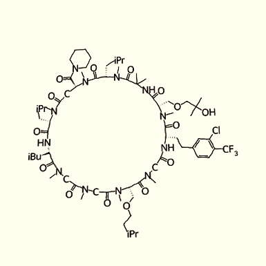 CC[C@H](C)[C@@H]1NC(=O)[C@H](CC(C)C)N(C)C(=O)C[C@@H](C(=O)N2CCCCC2)N(C)C(=O)[C@H](CC(C)C)N(C)C(=O)C(C)(C)NC(=O)[C@H](COCC(C)(C)O)N(C)C(=O)[C@H](CCc2ccc(C(F)(F)F)c(Cl)c2)NC(=O)CN(C)C(=O)[C@H](COCCC(C)C)N(C)C(=O)CN(C)C(=O)CN(C)C1=O